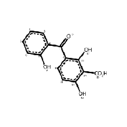 O=C(c1ccccc1O)c1ccc(O)c(C(=O)O)c1O